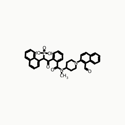 CN(C(=O)c1ccccc1C(=O)C(c1cccc2ccccc12)P(=O)(O)O)C1CCN(c2ccc3ccccc3c2C=O)CC1